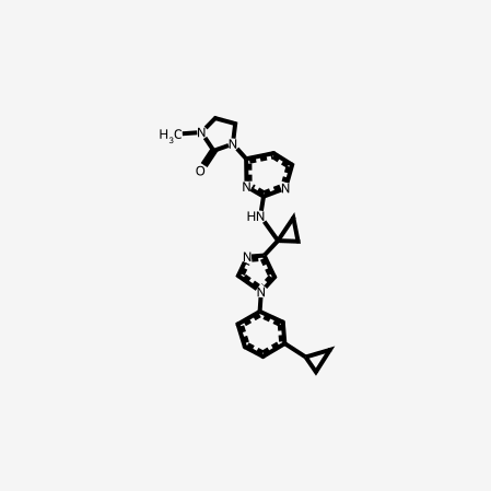 CN1CCN(c2ccnc(NC3(c4cn(-c5cccc(C6CC6)c5)cn4)CC3)n2)C1=O